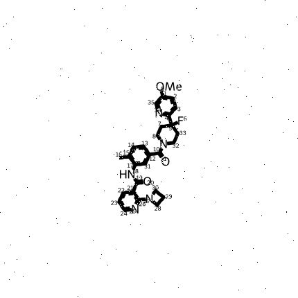 COc1ccc(C2(F)CCN(C(=O)c3ccc(C)c(NC(=O)c4cccnc4N4CCC4)c3)CC2)nc1